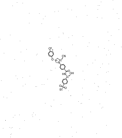 CCS(=O)(=O)c1ccc([C@H](CO)NC(=O)c2ccc(N3C[C@H](Oc4ccc(C(F)(F)F)cc4)C[C@H]3CC#N)cc2)cc1